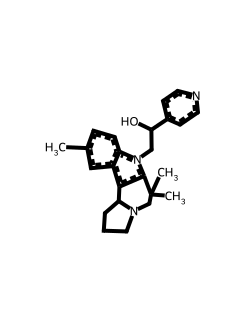 Cc1ccc2c(c1)c1c(n2CC(O)c2ccncc2)C(C)(C)CN2CCCC12